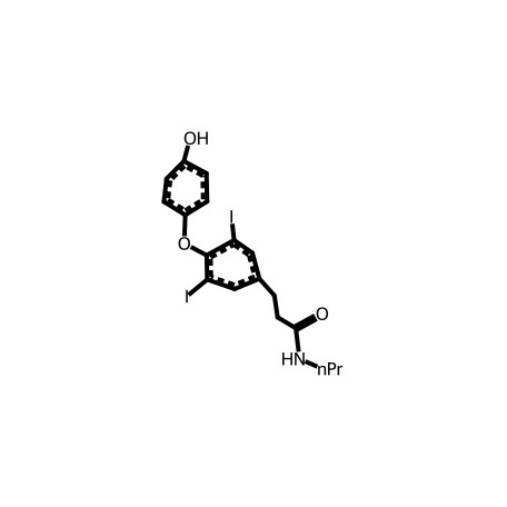 CCCNC(=O)CCc1cc(I)c(Oc2ccc(O)cc2)c(I)c1